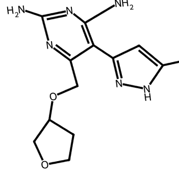 Cc1cc(-c2c(N)nc(N)nc2COC2CCOC2)n[nH]1